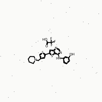 O=C(O)C(F)(F)F.Oc1cccc(Nc2ncnc3cc(-c4cc(CN5CCCCC5)cs4)sc23)c1